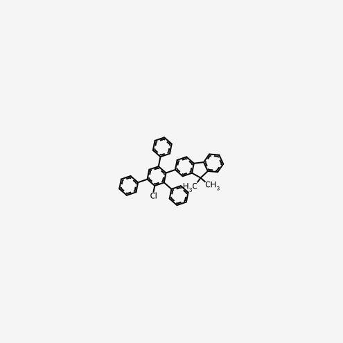 CC1(C)c2ccccc2-c2ccc(-c3c(-c4ccccc4)cc(-c4ccccc4)c(Cl)c3-c3ccccc3)cc21